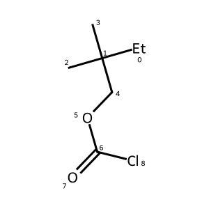 CCC(C)(C)COC(=O)Cl